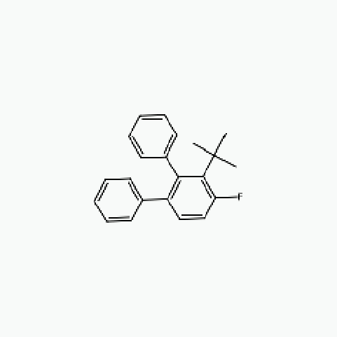 CC(C)(C)c1c(F)ccc(-c2ccccc2)c1-c1ccccc1